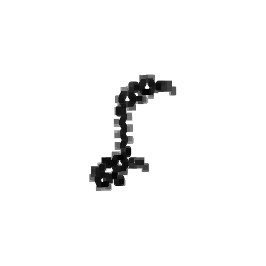 Cc1ccc(Oc2ccc(OCCCCCCOc3cc4c(cc3C)C(=O)N3CCC[C@H]3C=N4)cc2I)cc1